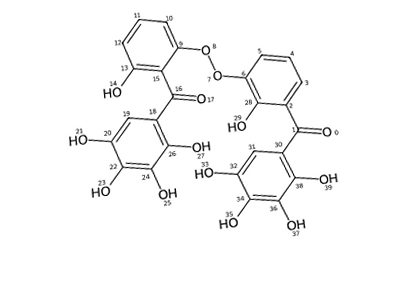 O=C(c1cccc(OOc2cccc(O)c2C(=O)c2cc(O)c(O)c(O)c2O)c1O)c1cc(O)c(O)c(O)c1O